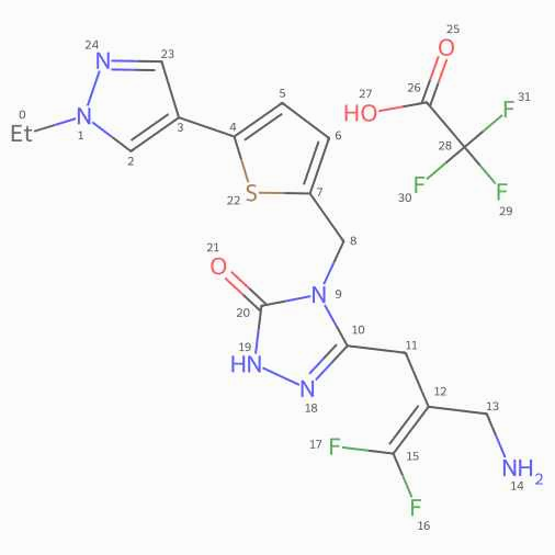 CCn1cc(-c2ccc(Cn3c(CC(CN)=C(F)F)n[nH]c3=O)s2)cn1.O=C(O)C(F)(F)F